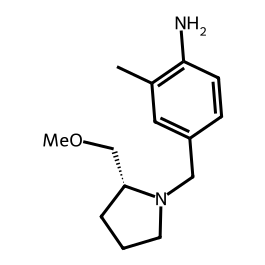 COC[C@H]1CCCN1Cc1ccc(N)c(C)c1